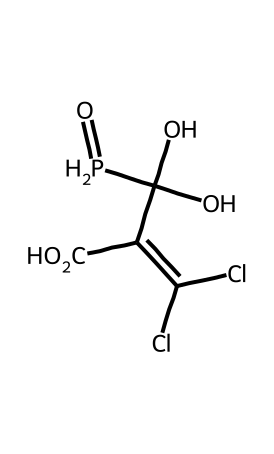 O=[PH2]C(O)(O)C(C(=O)O)=C(Cl)Cl